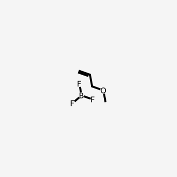 C=CCOC.FB(F)F